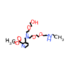 CCNCCOCCOCCN(CCOCCO)Cc1cccnc1C(=O)OC